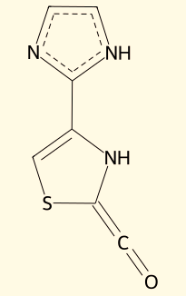 O=C=C1NC(c2ncc[nH]2)=CS1